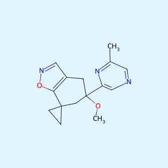 COC1(c2cncc(C)n2)Cc2cnoc2C2(CC2)C1